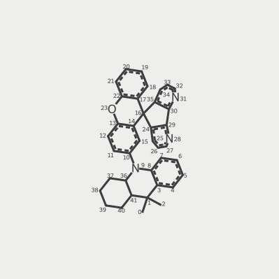 CC1(C)c2ccccc2N(c2ccc3c(c2)C2(c4ccccc4O3)c3cccnc3-c3ncccc32)C2CCCCC21